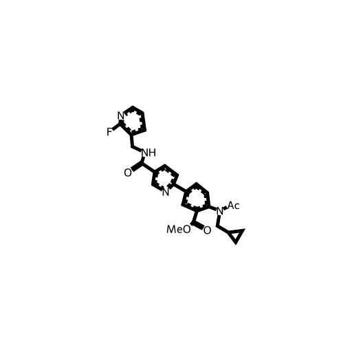 COC(=O)c1cc(-c2ccc(C(=O)NCc3cccnc3F)cn2)ccc1N(CC1CC1)C(C)=O